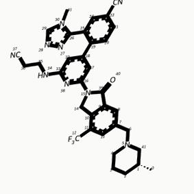 C[C@@H]1CCCN(Cc2cc3c(c(C(F)(F)F)c2)CN(c2cc(-c4ccc(C#N)cc4-c4nncn4C)cc(NCCC#N)n2)C3=O)C1